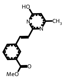 COC(=O)c1cccc(C=Cc2nc(C)cc(O)n2)c1